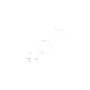 CCCC(C)OP(=O)(N(C)C)N1CCN(C(=O)C(C)(C)OCC)CC1